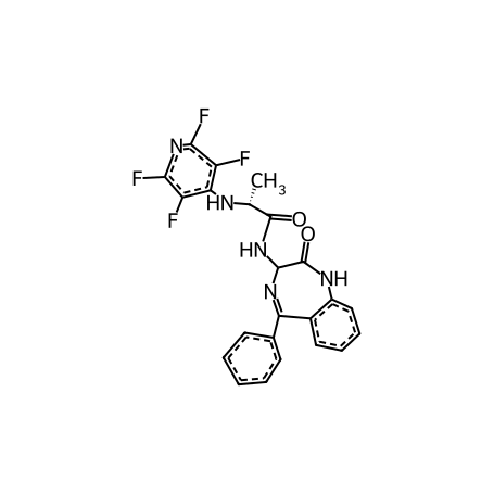 C[C@@H](Nc1c(F)c(F)nc(F)c1F)C(=O)NC1N=C(c2ccccc2)c2ccccc2NC1=O